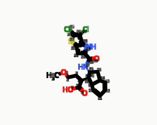 COCCC(C(=O)O)[C@@H]1C2C=CC=CC2C[C@H]1NC(=O)c1cc2sc(Cl)c(Cl)c2[nH]1